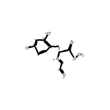 COC(=O)[C@@H](Cc1ccc(Cl)cc1Cl)N=CC=O